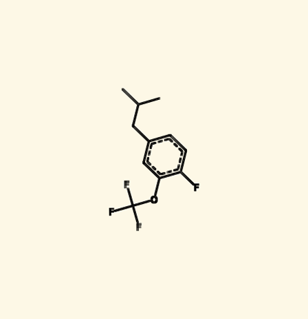 CC(C)Cc1ccc(F)c(OC(F)(F)F)c1